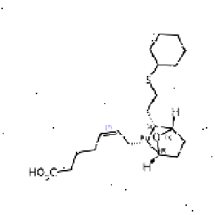 O=C(O)CCC/C=C\C[C@@H]1[C@H](CCSC2CCCCC2)[C@@H]2CC[C@H]1O2